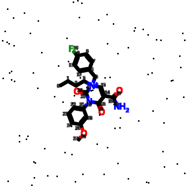 CCCC[N+]1(Cc2ccc(F)cc2)C=C(C(N)=O)C(=O)N(c2cccc(OC)c2)C1=O